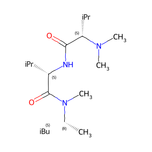 CC[C@H](C)[C@@H](C)N(C)C(=O)[C@@H](NC(=O)[C@H](C(C)C)N(C)C)C(C)C